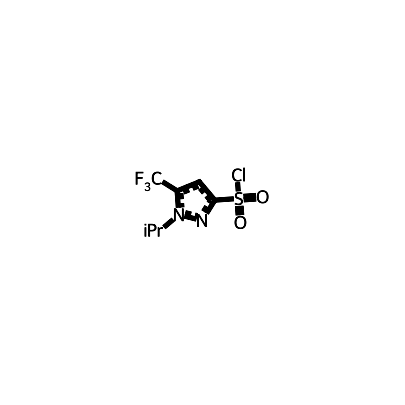 CC(C)n1nc(S(=O)(=O)Cl)cc1C(F)(F)F